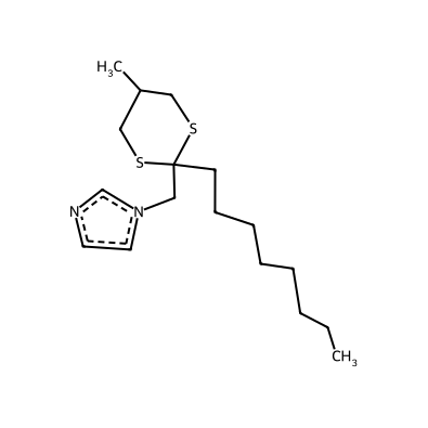 CCCCCCCCC1(Cn2ccnc2)SCC(C)CS1